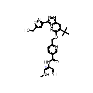 CN/C=C(\C=N)NC(=O)c1ccc(COc2nn3c(-c4cc(CO)on4)nnc3cc2C(C)(C)C)nc1